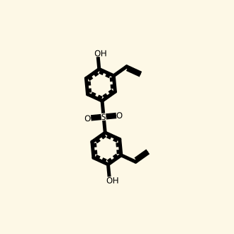 C=Cc1cc(S(=O)(=O)c2ccc(O)c(C=C)c2)ccc1O